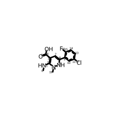 CNC1=C(C(=O)O)C=C(c2cc(Cl)ccc2F)NN1C